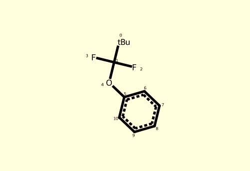 CC(C)(C)C(F)(F)Oc1ccccc1